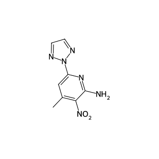 Cc1cc(-n2nccn2)nc(N)c1[N+](=O)[O-]